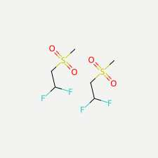 CS(=O)(=O)CC(F)F.CS(=O)(=O)CC(F)F